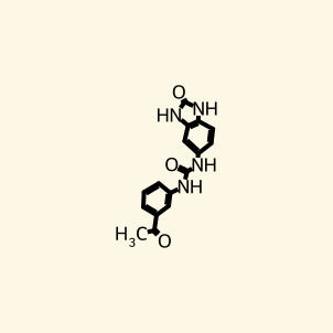 CC(=O)c1cccc(NC(=O)Nc2ccc3[nH]c(=O)[nH]c3c2)c1